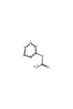 O=C([SiH3])Oc1ccnnc1